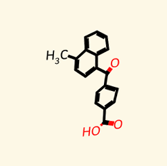 Cc1ccc(C(=O)c2ccc(C(=O)O)cc2)c2ccccc12